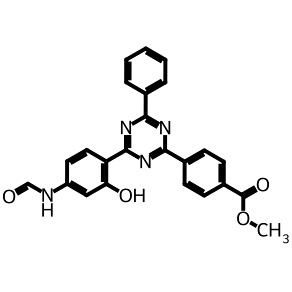 COC(=O)c1ccc(-c2nc(-c3ccccc3)nc(-c3ccc(NC=O)cc3O)n2)cc1